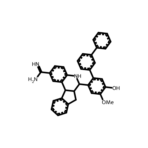 COc1cc(C2Nc3ccc(C(=N)N)cc3C3c4ccccc4CC23)c(-c2cccc(-c3ccccc3)c2)cc1O